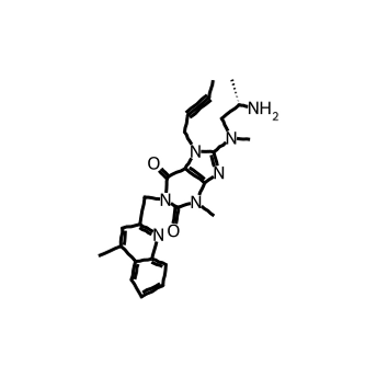 CC#CCn1c(N(C)C[C@H](C)N)nc2c1c(=O)n(Cc1cc(C)c3ccccc3n1)c(=O)n2C